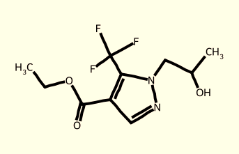 CCOC(=O)c1cnn(CC(C)O)c1C(F)(F)F